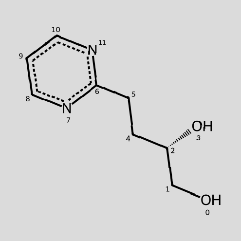 OC[C@@H](O)CCc1ncccn1